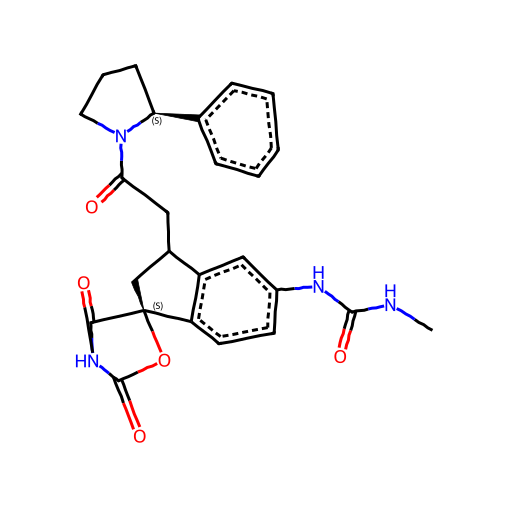 CNC(=O)Nc1ccc2c(c1)C(CC(=O)N1CCC[C@H]1c1ccccc1)C[C@]21OC(=O)NC1=O